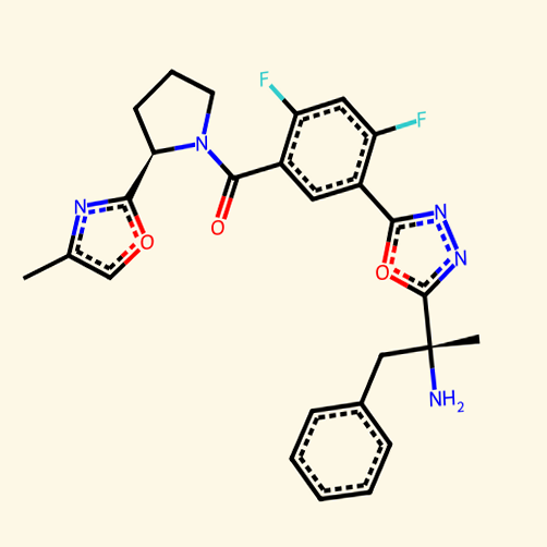 Cc1coc([C@H]2CCCN2C(=O)c2cc(-c3nnc([C@](C)(N)Cc4ccccc4)o3)c(F)cc2F)n1